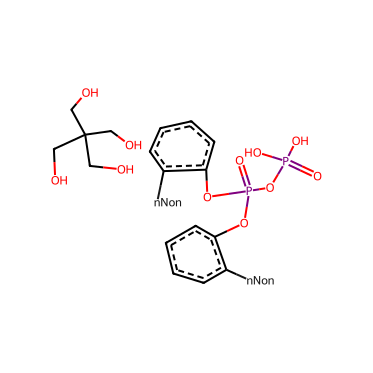 CCCCCCCCCc1ccccc1OP(=O)(Oc1ccccc1CCCCCCCCC)OP(=O)(O)O.OCC(CO)(CO)CO